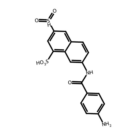 Nc1ccc(C(=O)Nc2ccc3cc([SH](=O)=O)cc(S(=O)(=O)O)c3c2)cc1